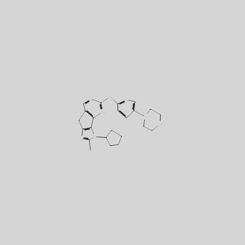 CCc1nc2c(n1C1CCCC1)-c1nc(Nc3ccc(N4CCNCC4)cn3)ncc1C2